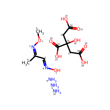 CON=C(C)C=NO.N.N.N.O=C(O)CC(O)(CC(=O)O)C(=O)O